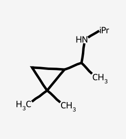 CC(C)NC(C)C1CC1(C)C